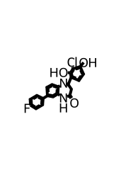 O=C1CC(c2ccc(O)c(Cl)c2O)=Nc2ccc(-c3ccc(F)cc3)cc2N1